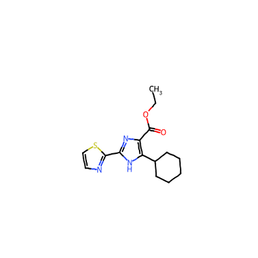 CCOC(=O)c1nc(-c2nccs2)[nH]c1C1CCCCC1